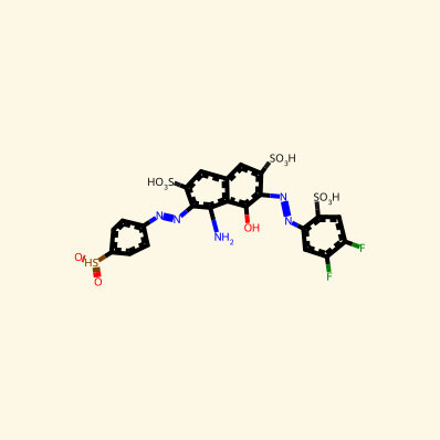 Nc1c(/N=N/c2ccc([SH](=O)=O)cc2)c(S(=O)(=O)O)cc2cc(S(=O)(=O)O)c(/N=N/c3cc(F)c(F)cc3S(=O)(=O)O)c(O)c12